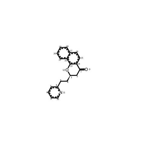 O=C1C[C@@H](CCc2ccccn2)Oc2c1ccc1ccccc21